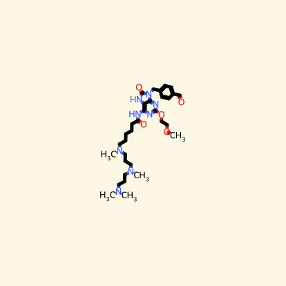 COCCOc1nc(NC(=O)CCCCCN(C)CCCN(C)CCCN(C)C)c2[nH]c(=O)n(Cc3ccc(C=O)cc3)c2n1